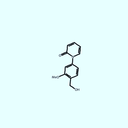 COc1cc(-n2ccccc2=O)ccc1CO